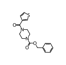 O=C(OCc1ccccc1)N1CCN(C(=O)c2ccsc2)CC1